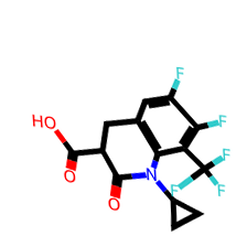 O=C(O)C1Cc2cc(F)c(F)c(C(F)(F)F)c2N(C2CC2)C1=O